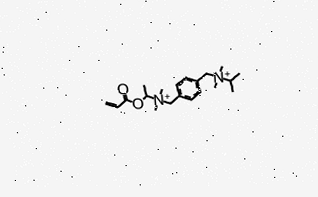 C=CC(=O)OC(C)[N+](C)(C)Cc1ccc(C[N+](C)(C)C(C)C)cc1